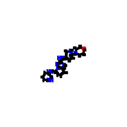 c1cc(N[C@@H]2CCCNC2)n2nc(Nc3ccc(N4CCOCC4)nc3)nc2c1